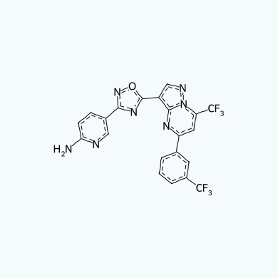 Nc1ccc(-c2noc(-c3cnn4c(C(F)(F)F)cc(-c5cccc(C(F)(F)F)c5)nc34)n2)cn1